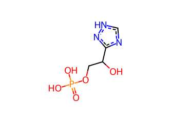 O=P(O)(O)OCC(O)c1nc[nH]n1